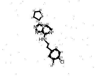 Fc1cc(CCNc2nccn3c([C@@H]4CCCS4)nnc23)ccc1Cl